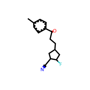 Cc1ccc(C(=O)CCC2CC(F)C(C#N)C2)cc1